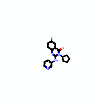 O=c1c2cc(F)ccc2nc(Nc2cccnc2)n1C1CCCC1